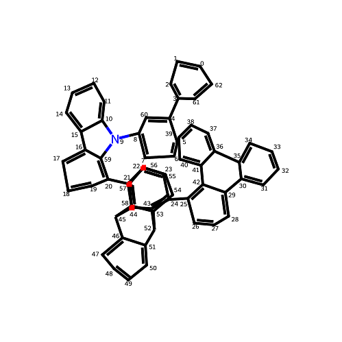 c1ccc(-c2cccc(-n3c4ccccc4c4cccc(-c5ccc(-c6cccc7c8ccccc8c8ccccc8c67)c6c5C5c7ccccc7C6c6ccccc65)c43)c2)cc1